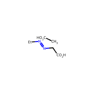 CC(=O)O.CCN=NCC(=O)O